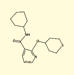 O=C(NC1CCCCC1)c1cccnc1OC1CCSCC1